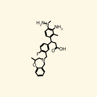 Cc1c(C(CC(=O)O)c2ccc(F)c(CN3Cc4ccccc4OC(C)C3)c2)ccc(N(C)N)c1N